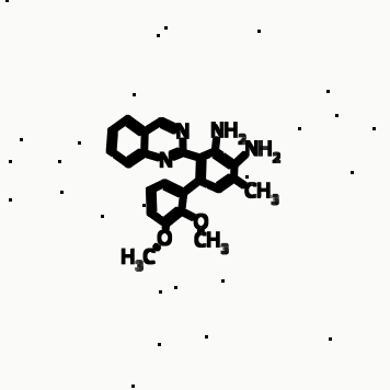 COc1cccc(-c2cc(C)c(N)c(N)c2-c2ncc3ccccc3n2)c1OC